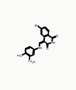 O=C1NC(=O)c2ccc(Br)cc2/C1=C/Nc1ccc(O)c(C(=O)O)c1